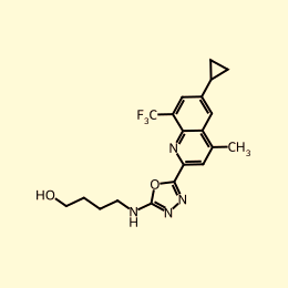 Cc1cc(-c2nnc(NCCCCO)o2)nc2c(C(F)(F)F)cc(C3CC3)cc12